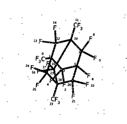 FC(F)(F)C12C(F)(F)C3(F)C(F)(F)C(C(F)(F)F)(C1(F)F)C(F)(F)C(C(F)(F)F)(C3(F)F)C2(F)F